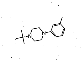 Cc1cccc(N2CCN(C(C)(C)C)CC2)c1